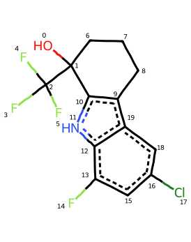 OC1(C(F)(F)F)CCCc2c1[nH]c1c(F)cc(Cl)cc21